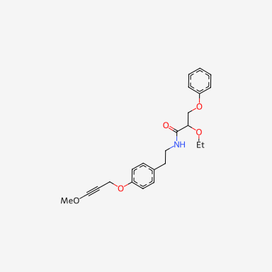 CCOC(COc1ccccc1)C(=O)NCCc1ccc(OCC#COC)cc1